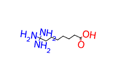 NC(N)(N)CCCCCCC(=O)O